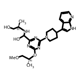 COC[C@@H](C)Oc1nc(C(O)N[C@H](C)CO)nc(N2CCC(c3c[nH]c4ncccc34)CC2)n1